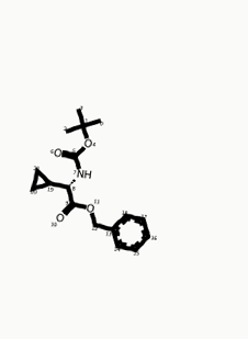 CC(C)(C)OC(=O)N[C@H](C(=O)OCc1ccccc1)C1CC1